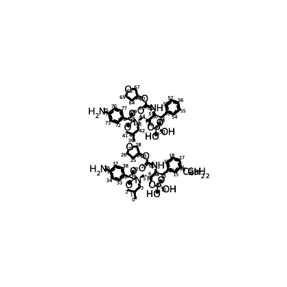 CC(C)CN(C[C@@H](OP(=O)(O)O)[C@H](Cc1ccccc1)NC(=O)O[C@H]1CCOC1)S(=O)(=O)c1ccc(N)cc1.CC(C)CN(C[C@@H](OP(=O)(O)O)[C@H](Cc1ccccc1)NC(=O)O[C@H]1CCOC1)S(=O)(=O)c1ccc(N)cc1.[CaH2].[CaH2]